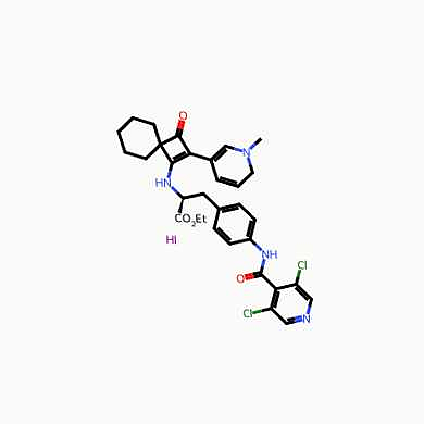 CCOC(=O)[C@H](Cc1ccc(NC(=O)c2c(Cl)cncc2Cl)cc1)NC1=C(C2=CN(C)CC=C2)C(=O)C12CCCCC2.I